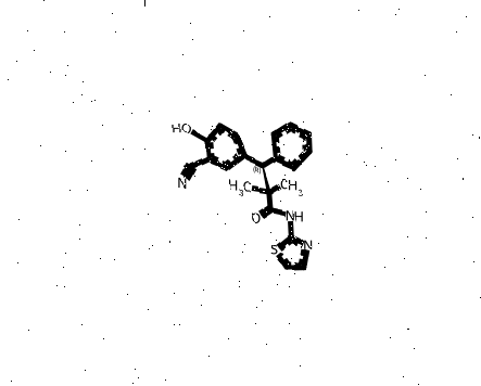 CC(C)(C(=O)Nc1nccs1)[C@H](c1ccccc1)c1ccc(O)c(C#N)c1